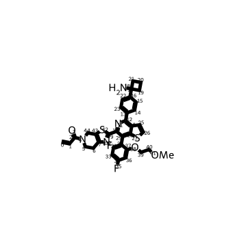 C=CC(=O)N1CCc2nc(-c3nc(-c4ccc(C5(N)CCC5)cc4)c4ccsc4c3-c3c(F)cc(F)cc3OCCOC)sc2C1